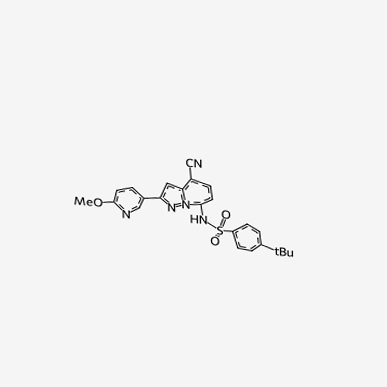 COc1ccc(-c2cc3c(C#N)ccc(NS(=O)(=O)c4ccc(C(C)(C)C)cc4)n3n2)cn1